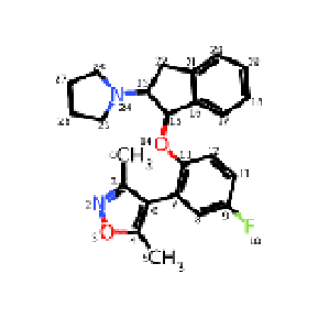 Cc1noc(C)c1-c1cc(F)ccc1OC1c2ccccc2CC1N1CCCC1